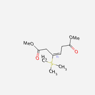 COC(=O)C/C=C(\CC(=O)OC)S(C)(C)C